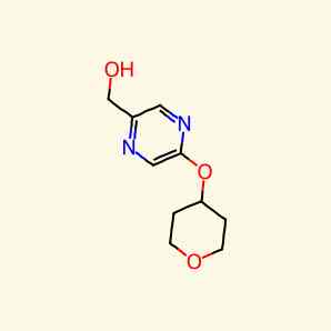 OCc1cnc(OC2CCOCC2)cn1